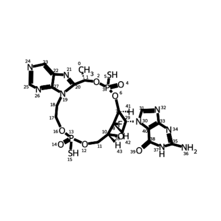 C[C@@H]1OP(=O)(S)O[C@@H]2[C@H](F)[C@@H](COP(=O)(S)OCCn3c1nc1cncnc13)O[C@H]2n1cnc2nc(N)[nH]c(=O)c21